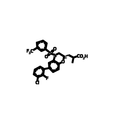 CC(C[C@H]1CN(S(=O)(=O)c2cccc(C(F)(F)F)c2)c2cc(-c3cccc(Cl)c3F)ccc2O1)C(=O)O